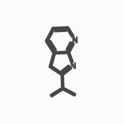 CC(C)C1=Nc2ncccc2C1